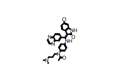 CC(=O)N(CCCN(C)C)c1ccc(N/C(=C2\C(=O)Nc3cc(Cl)ccc32)c2ccc3nccnc3c2)cc1